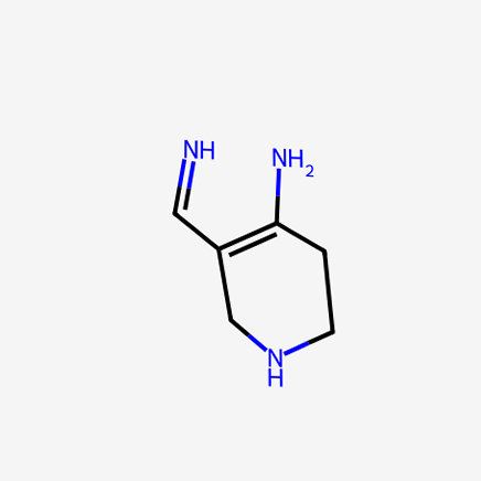 N=CC1=C(N)CCNC1